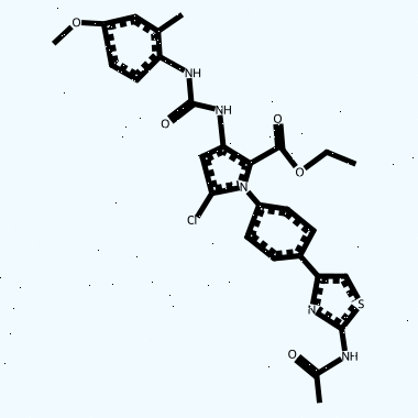 CCOC(=O)c1c(NC(=O)Nc2ccc(OC)cc2C)cc(Cl)n1-c1ccc(-c2csc(NC(C)=O)n2)cc1